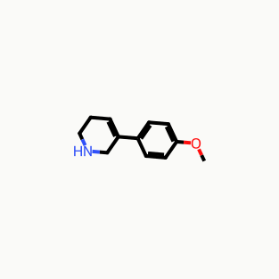 COc1ccc(C2=CCCNC2)cc1